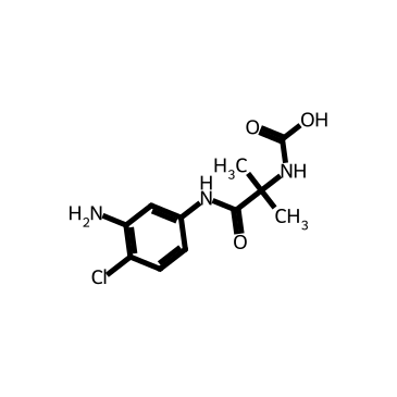 CC(C)(NC(=O)O)C(=O)Nc1ccc(Cl)c(N)c1